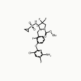 CC(C)(C)OC(=O)N1CC(F)(F)[C@H](NS(=O)(=O)C2CC2)[C@@H]1Cc1cccc(Oc2nc(N)c(F)cc2Cl)c1F